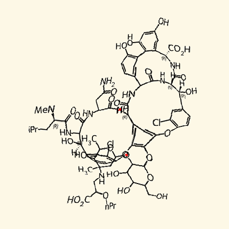 CCCOC(CNC1(C)CC(OC2C(Oc3c4cc5cc3Oc3ccc(cc3Cl)[C@@H](O)[C@@H]3NC(=O)C(NC(=O)[C@@H]5NC(=O)C(CC(N)=O)NC(=O)C(NC(=O)[C@@H](CC(C)C)NC)[C@H](O)c5ccc(c(Cl)c5)O4)c4ccc(O)c(c4)-c4c(O)cc(O)cc4[C@H](C(=O)O)NC3=O)OC(CO)C(O)C2O)OC(C)C1O)C(=O)O